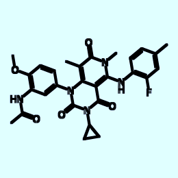 COc1ccc(-n2c(=O)n(C3CC3)c(=O)c3c(Nc4ccc(C)cc4F)n(C)c(=O)c(C)c32)cc1NC(C)=O